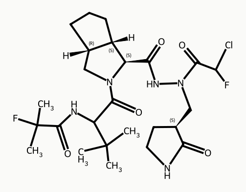 CC(C)(F)C(=O)NC(C(=O)N1C[C@@H]2CCC[C@@H]2[C@H]1C(=O)NN(C[C@@H]1CCNC1=O)C(=O)C(F)Cl)C(C)(C)C